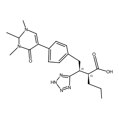 CCC[C@H](C(=O)O)[C@H](Cc1ccc(C2=CN(C)C(C)N(C)C2=O)cc1)c1nn[nH]n1